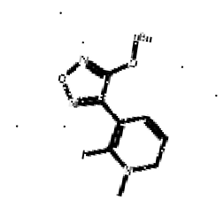 CCCCOc1nonc1C1=C(I)N(C)CC=C1